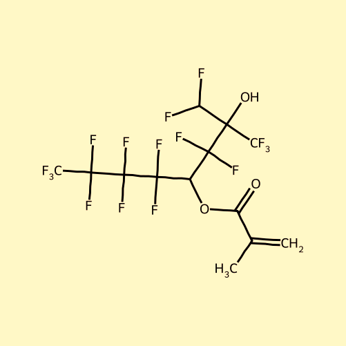 C=C(C)C(=O)OC(C(F)(F)C(F)(F)C(F)(F)C(F)(F)F)C(F)(F)C(O)(C(F)F)C(F)(F)F